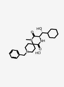 CN1C(=O)[C@@H]([C@H](O)C2CCCCC2)NC(=O)C12CCN(Cc1ccccc1)CC2.Cl